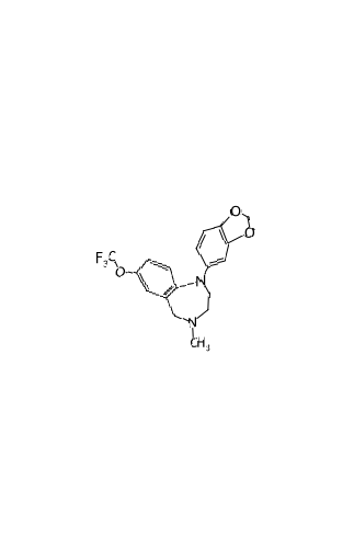 CN1CCN(c2ccc3c(c2)OCO3)c2ccc(OC(F)(F)F)cc2C1